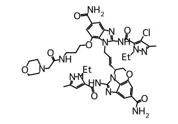 CCn1nc(C)cc1C(=O)Nc1nc2cc(C(N)=O)cc3c2n1[C@@H](/C=C/Cn1c(NC(=O)c2c(Cl)c(C)nn2CC)nc2cc(C(N)=O)cc(OCCCNC(=O)CN4CCOCC4)c21)CO3